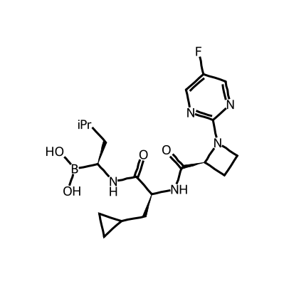 CC(C)C[C@@H](NC(=O)[C@H](CC1CC1)NC(=O)[C@@H]1CCN1c1ncc(F)cn1)B(O)O